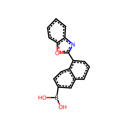 OB(O)c1ccc2c(-c3nc4ccccc4o3)cccc2c1